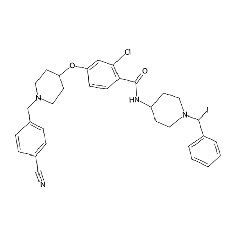 N#Cc1ccc(CN2CCC(Oc3ccc(C(=O)NC4CCN(C(I)c5ccccc5)CC4)c(Cl)c3)CC2)cc1